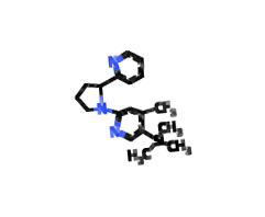 C[Si](C)(C)c1cnc(N2CCCC2c2ccccn2)cc1C(F)(F)F